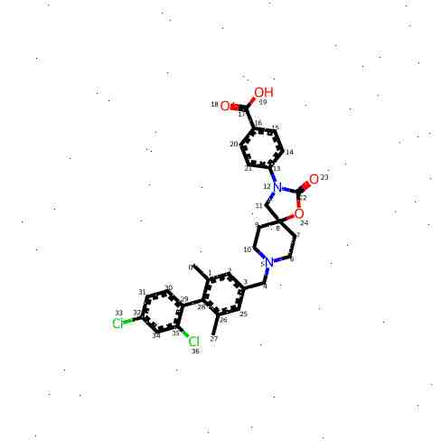 Cc1cc(CN2CCC3(CC2)CN(c2ccc(C(=O)O)cc2)C(=O)O3)cc(C)c1-c1ccc(Cl)cc1Cl